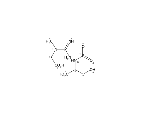 CN(CC(=O)O)C(=N)N.O=C(O)C(CO)NP(=O)=O